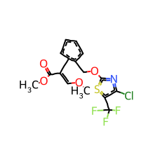 CO/C=C(/C(=O)OC)c1ccccc1COc1nc(Cl)c(C(F)(F)F)s1